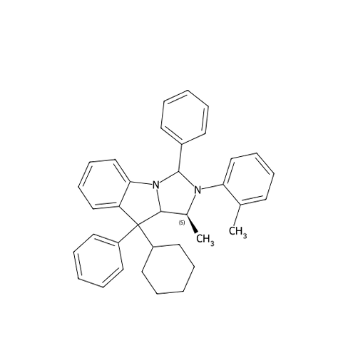 Cc1ccccc1N1C(c2ccccc2)N2c3ccccc3C(c3ccccc3)(C3CCCCC3)C2[C@@H]1C